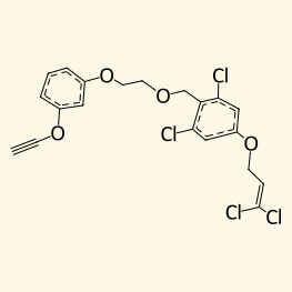 C#COc1cccc(OCCOCc2c(Cl)cc(OCC=C(Cl)Cl)cc2Cl)c1